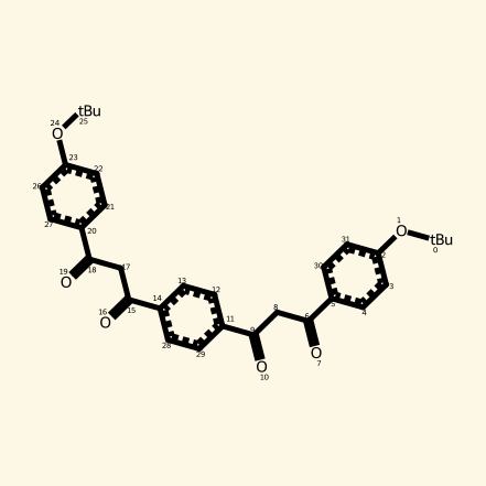 CC(C)(C)Oc1ccc(C(=O)CC(=O)c2ccc(C(=O)CC(=O)c3ccc(OC(C)(C)C)cc3)cc2)cc1